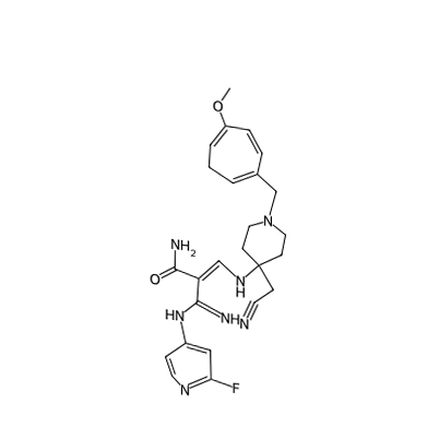 COC1=CCC=C(CN2CCC(CC#N)(N/C=C(\C(=N)Nc3ccnc(F)c3)C(N)=O)CC2)C=C1